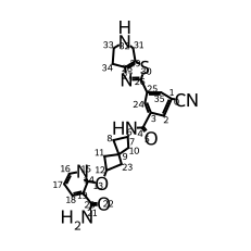 N#Cc1cc(C(=O)NC2CC3(C2)CC(Oc2ncccc2C(N)=O)C3)cc(-c2nc3c(s2)CNCC3)c1